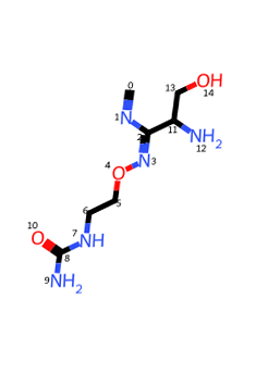 C=N/C(=N\OCCNC(N)=O)C(N)CO